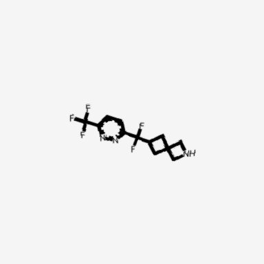 FC(F)(F)c1ccc(C(F)(F)C2CC3(CNC3)C2)nn1